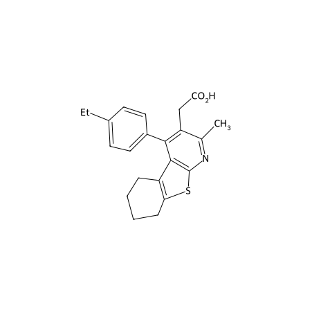 CCc1ccc(-c2c(CC(=O)O)c(C)nc3sc4c(c23)CCCC4)cc1